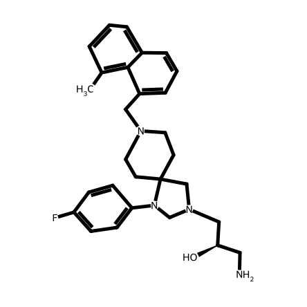 Cc1cccc2cccc(CN3CCC4(CC3)CN(C[C@H](O)CN)CN4c3ccc(F)cc3)c12